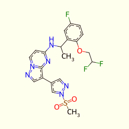 CC(Nc1ccn2ncc(-c3cnn(S(C)(=O)=O)c3)c2n1)c1cc(F)ccc1OCC(F)F